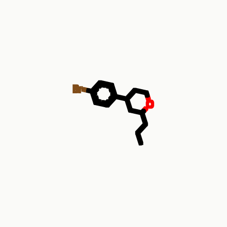 CCCC1CC(c2ccc(Br)cc2)CCO1